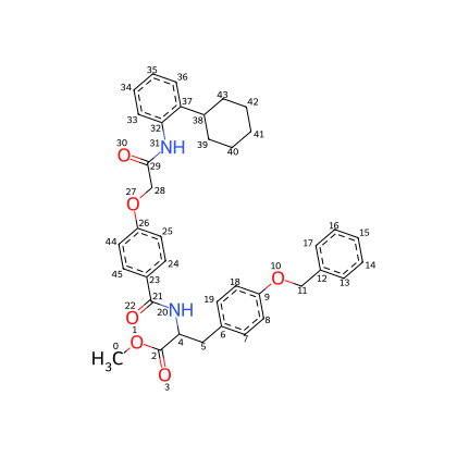 COC(=O)C(Cc1ccc(OCc2ccccc2)cc1)NC(=O)c1ccc(OCC(=O)Nc2ccccc2C2CCCCC2)cc1